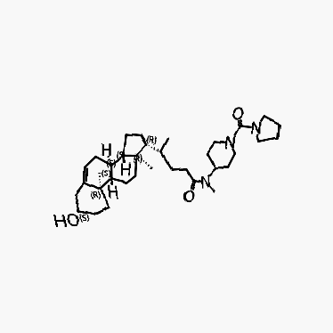 CC(CCC(=O)N(C)C1CCN(C(=O)N2CCCC2)CC1)[C@H]1CC[C@H]2[C@@H]3CC=C4C[C@@H](O)CC[C@]4(C)[C@H]3CC[C@]12C